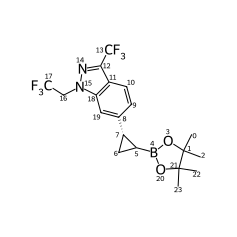 CC1(C)OB(C2C[C@@H]2c2ccc3c(C(F)(F)F)nn(CC(F)(F)F)c3c2)OC1(C)C